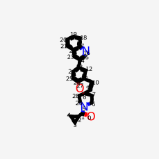 O=C(C1CC1)N1CCC2(C=Cc3cc(-c4cnc5ccccc5c4)ccc3O2)CC1